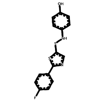 Oc1ccc(NSc2cnc(-c3ccc(F)cc3)s2)cc1